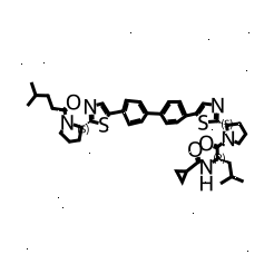 CC(C)CCC(=O)N1CCC[C@H]1c1ncc(-c2ccc(-c3ccc(-c4cnc([C@@H]5CCCN5C(=O)[C@@H](CC(C)C)NC(=O)C5CC5)s4)cc3)cc2)s1